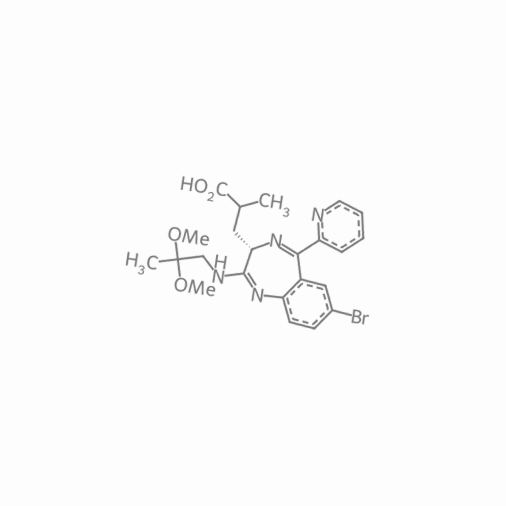 COC(C)(CNC1=Nc2ccc(Br)cc2C(c2ccccn2)=N[C@H]1CC(C)C(=O)O)OC